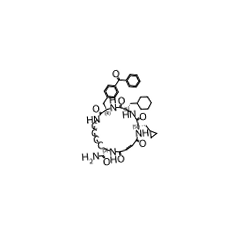 NC(=O)[C@@H]1CCCCNC(=O)[C@@H](Cc2ccc(C(=O)c3ccccc3)cc2)NC(=O)[C@H](CC2CCCCC2)NC(=O)[C@H](CC2CC2)NC(=O)C=CC(=O)N1